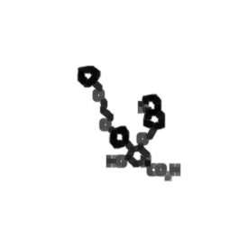 O=C(O)N1CC(O)C(c2ccc(OCCCOCc3ccccc3)cc2)C(OCc2ccc3cccnc3c2)C1